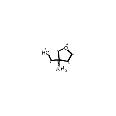 CC1(CO)CCOC1